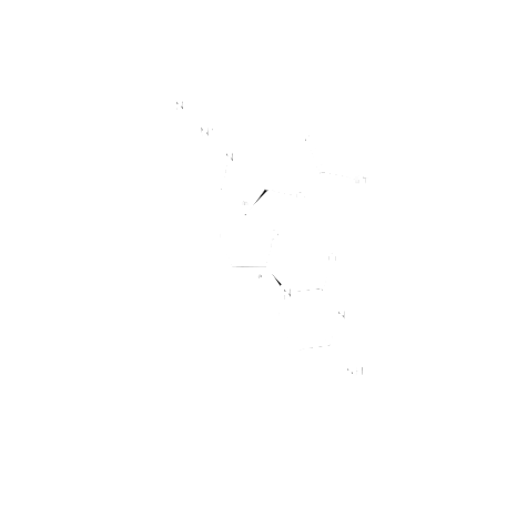 CC(C)C(=O)OC[C@]1(CN=[N+]=[N-])CC[C@H](n2ccc(N)nc2=O)O1